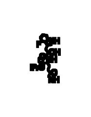 CC(C)OC(=O)[C@H](CCC(=O)C=N)NC(=O)[C@@H](O)Cc1c[nH]c2cccc(F)c12